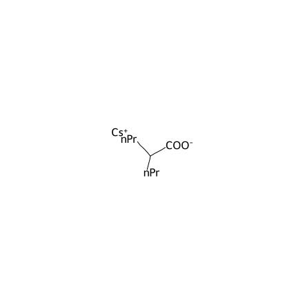 CCCC(CCC)C(=O)[O-].[Cs+]